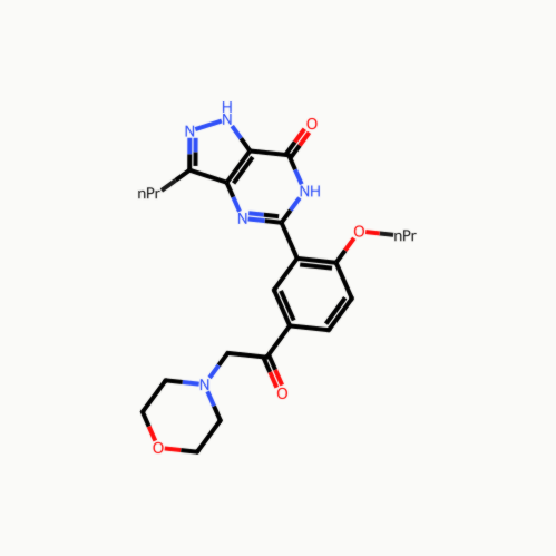 CCCOc1ccc(C(=O)CN2CCOCC2)cc1-c1nc2c(CCC)n[nH]c2c(=O)[nH]1